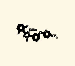 CON1C(c2c(F)cccc2F)=NN(C)C1c1cccc(Oc2ccc(C(F)(F)F)cn2)c1